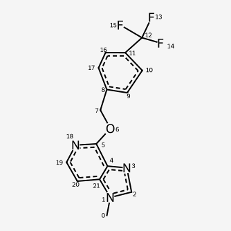 Cn1cnc2c(OCc3ccc(C(F)(F)F)cc3)nccc21